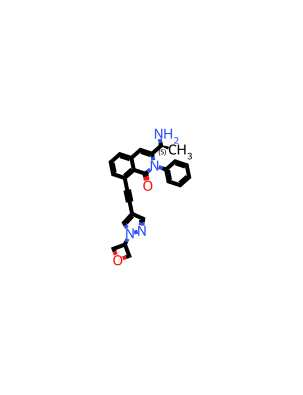 C[C@H](N)c1cc2cccc(C#Cc3cnn(C4COC4)c3)c2c(=O)n1-c1ccccc1